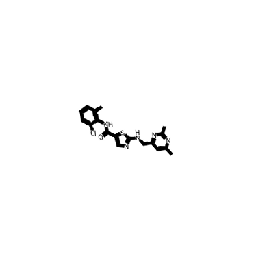 Cc1cc(CNc2ncc(C(=O)Nc3c(C)cccc3Cl)s2)nc(C)n1